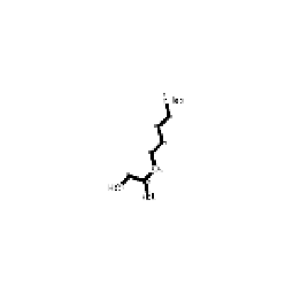 CCCCCCCCCCOC(CC)CO